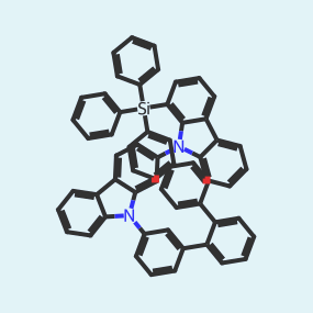 c1ccc(-c2ccccc2-c2cccc(-n3c4ccccc4c4ccc(-n5c6ccccc6c6cccc([Si](c7ccccc7)(c7ccccc7)c7ccccc7)c65)cc43)c2)cc1